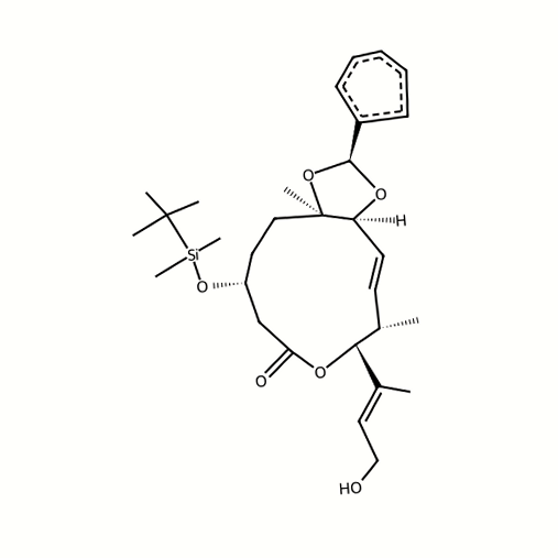 C/C(=C\CO)[C@H]1OC(=O)C[C@H](O[Si](C)(C)C(C)(C)C)CC[C@@]2(C)O[C@@H](c3ccccc3)O[C@H]2/C=C/[C@@H]1C